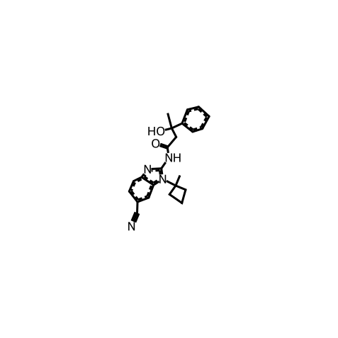 CC(O)(CC(=O)Nc1nc2ccc(C#N)cc2n1C1(C)CCC1)c1ccccc1